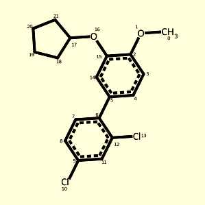 COc1ccc(-c2ccc(Cl)cc2Cl)cc1OC1CCCC1